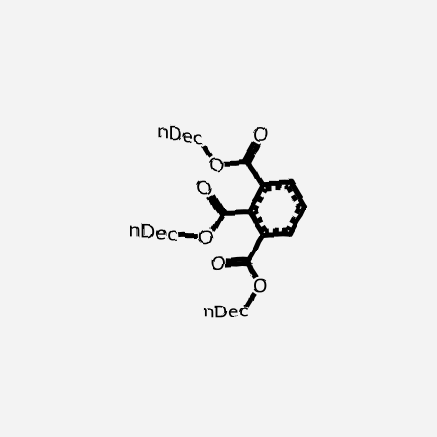 CCCCCCCCCCOC(=O)c1cccc(C(=O)OCCCCCCCCCC)c1C(=O)OCCCCCCCCCC